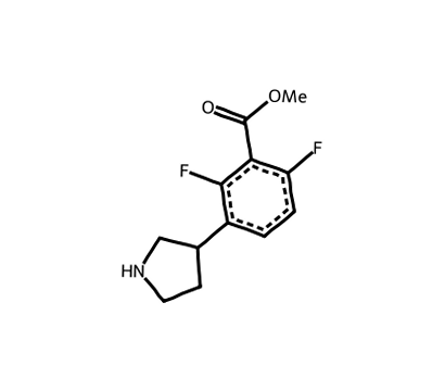 COC(=O)c1c(F)ccc(C2CCNC2)c1F